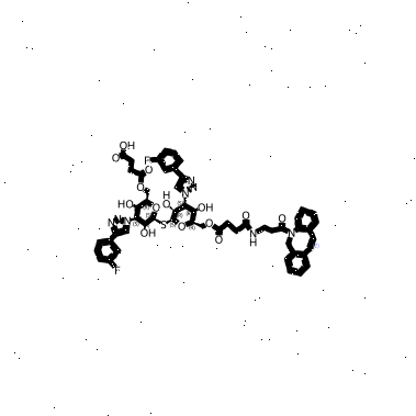 O=C(O)CCC(=O)OC[C@H]1O[C@@H](S[C@@H]2O[C@H](COC(=O)CCC(=O)NCCC(=O)N3Cc4ccccc4/C=C\c4ccccc43)[C@H](O)[C@H](n3cc(-c4cccc(F)c4)nn3)[C@H]2O)[C@H](O)[C@@H](n2cc(-c3cccc(F)c3)nn2)[C@H]1O